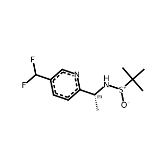 C[C@@H](N[S+]([O-])C(C)(C)C)c1ccc(C(F)F)cn1